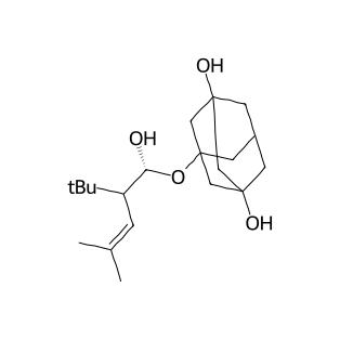 CC(C)=CC([C@H](O)OC12CC3CC(O)(CC(O)(C3)C1)C2)C(C)(C)C